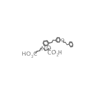 O=C(O)CCCN1CC(C(=O)O)Oc2c(CCc3ccc(OCCCc4ccccc4)cc3)cccc21